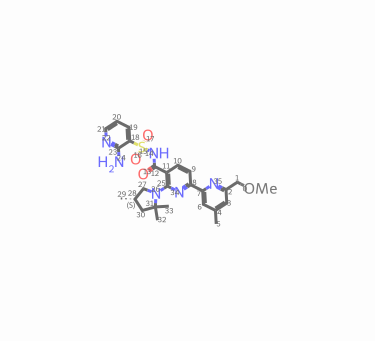 COCc1cc(C)cc(-c2ccc(C(=O)NS(=O)(=O)c3cccnc3N)c(N3C[C@@H](C)CC3(C)C)n2)n1